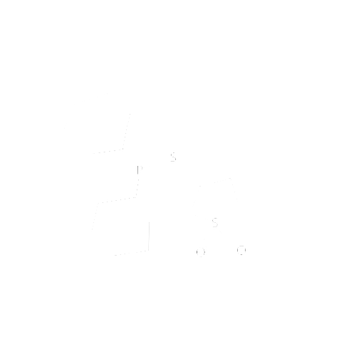 O=S1(=O)CCC(SP(C2CCCCC2)C2CCCCC2)C1